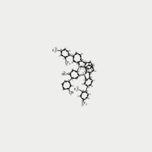 N#Cc1cccc(-c2cc(-n3c4ccccc4c4ccc(-c5ccc(C(F)(F)F)cc5C(F)(F)F)cc43)c(-n3c4ccccc4c4ccc(-c5ccc(C(F)(F)F)cc5C(F)(F)F)cc43)cc2C#N)c1